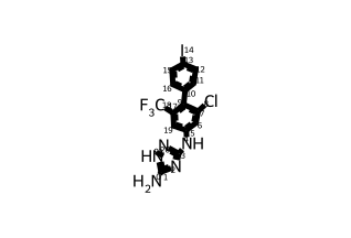 Nc1nc(Nc2cc(Cl)c(-c3ccc(I)cc3)c(C(F)(F)F)c2)n[nH]1